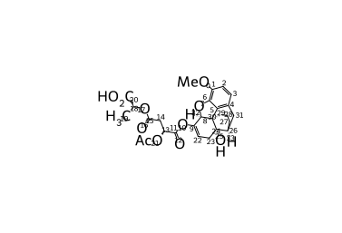 COc1ccc2c3c1O[C@@H]1C(OC(=O)[C@H](CC(=O)O[C@@H](C)C(=O)O)OC(C)=O)=CC[C@]4(O)[C@@H](CCC[C@@]314)C2